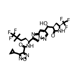 CC(C)(CC[C@H](NC(=O)c1nonc1C1CC1)c1cn2ncc([C@@H](O)[C@H]3C[C@@H](C(F)(F)F)NC3=O)cc2n1)C(F)(F)F